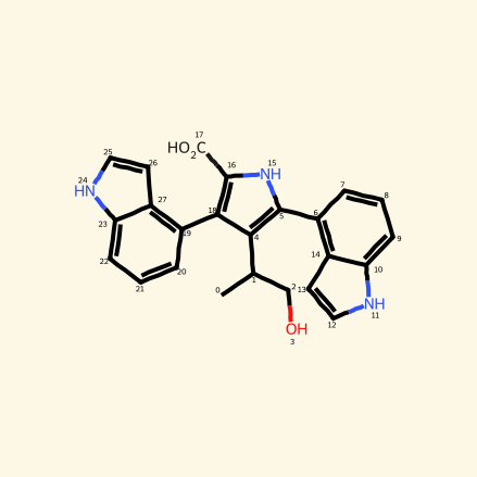 CC(CO)c1c(-c2cccc3[nH]ccc23)[nH]c(C(=O)O)c1-c1cccc2[nH]ccc12